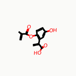 C=C(C)C(=O)Oc1ccc(O)cc1C(=C)C(=O)O